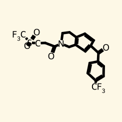 O=C(c1ccc(C(F)(F)F)cc1)c1ccc2c(c1)CN(C(=O)CCS(=O)(=O)C(F)(F)F)CC2